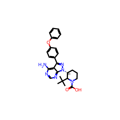 CC(C)(C)C1[C@H](n2nc(-c3ccc(Oc4ccccc4)cc3)c3c(N)ncnc32)CCCN1C(=O)O